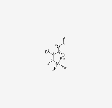 CCOC(=O)C(Br)C(C)C(F)(F)F